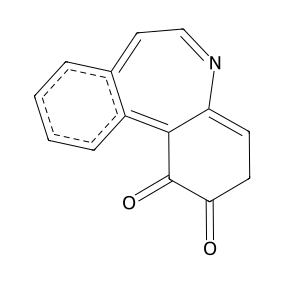 O=C1CC=C2N=CC=c3ccccc3=C2C1=O